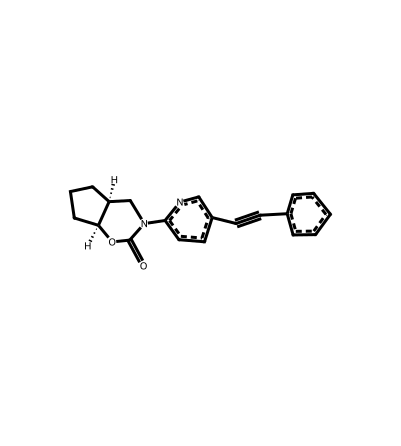 O=C1O[C@H]2CCC[C@H]2CN1c1ccc(C#Cc2ccccc2)cn1